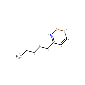 CCCCCC1=NSSC=C1